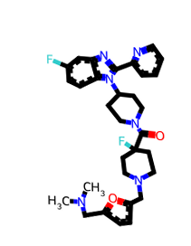 CN(C)Cc1ccc(CN2CCC(F)(C(=O)N3CCC(n4c(-c5ccccn5)nc5cc(F)ccc54)CC3)CC2)o1